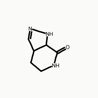 O=C1NCCC2C=NNC12